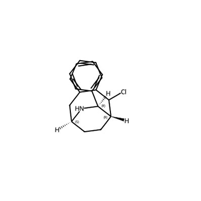 ClC1c2ccccc2C[C@@H]2CC[C@@H]1[C@H](c1ccccc1)N2